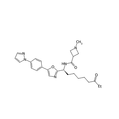 CCC(=O)CCCCC[C@H](NC(=O)C1CN(C)C1)c1ncc(-c2ccc(-n3cccn3)cc2)o1